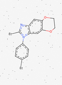 [CH2]Cc1ccc(-n2c(CC)nc3cc4c(cc32)OCCO4)cc1